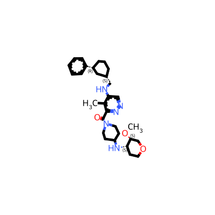 CO[C@@H]1COCC[C@@H]1NC1CCN(C(=O)c2nncc(NC[C@H]3CCC[C@@H](c4ccccc4)C3)c2C)CC1